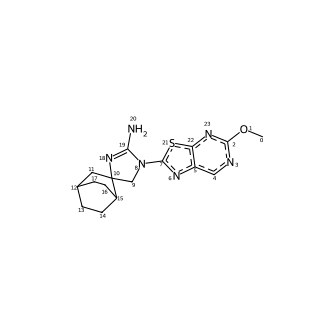 COc1ncc2nc(N3CC4(CC5CCC4CC5)N=C3N)sc2n1